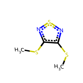 CSc1nsnc1SC